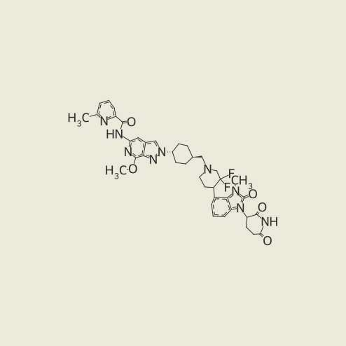 COc1nc(NC(=O)c2cccc(C)n2)cc2cn([C@H]3CC[C@H](CN4CCC(c5cccc6c5n(C)c(=O)n6C5CCC(=O)NC5=O)C(F)(F)C4)CC3)nc12